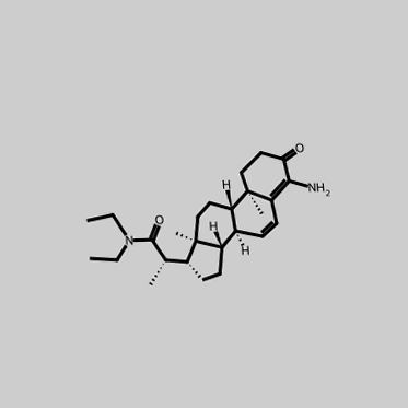 CCN(CC)C(=O)[C@@H](C)[C@H]1CC[C@H]2[C@@H]3C=CC4=C(N)C(=O)CC[C@]4(C)[C@H]3CC[C@]12C